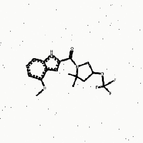 COc1cccc2[nH]c(C(=O)N3CC(OC(F)(F)F)CC3(C)C)cc12